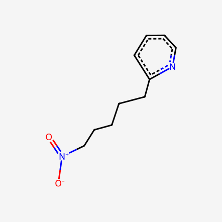 O=[N+]([O-])CCCCCc1ccccn1